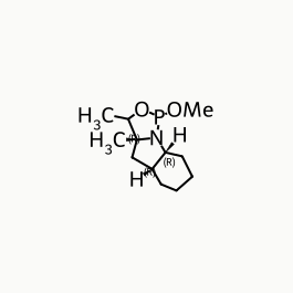 COP1OC(C)[C@@]2(C)C[C@H]3CCCC[C@H]3N12